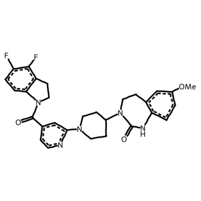 COc1ccc2c(c1)CCN(C1CCN(c3cc(C(=O)N4CCc5c4ccc(F)c5F)ccn3)CC1)C(=O)N2